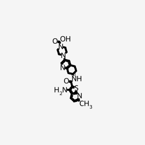 Cc1ccc2c(N)c(C(=O)N[C@H]3CCc4cc(N5CCN(C(=O)O)CC5)cnc4C3)sc2n1